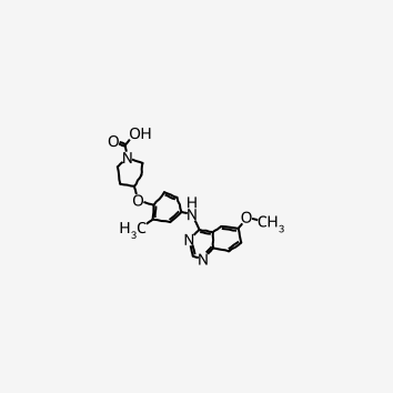 COc1ccc2ncnc(Nc3ccc(OC4CCN(C(=O)O)CC4)c(C)c3)c2c1